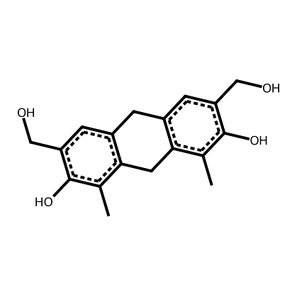 Cc1c(O)c(CO)cc2c1Cc1c(cc(CO)c(O)c1C)C2